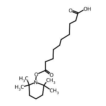 CC1(C)CCCC(C)(C)N1OC(=O)CCCCCCCCC(=O)O